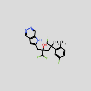 Cc1ccc(F)cc1C(C)(CF)CC(O)(Cc1cc2cnncc2[nH]1)C(F)F